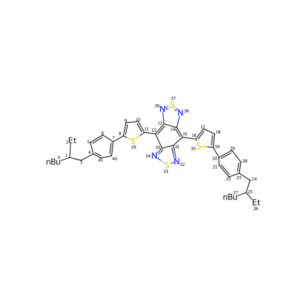 CCCCC(CC)Cc1ccc(-c2ccc(-c3c4c(c(-c5ccc(-c6ccc(CC(CC)CCCC)cc6)s5)c5nsnc35)N=S=N4)s2)cc1